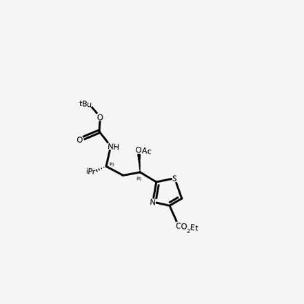 CCOC(=O)c1csc([C@@H](C[C@@H](NC(=O)OC(C)(C)C)C(C)C)OC(C)=O)n1